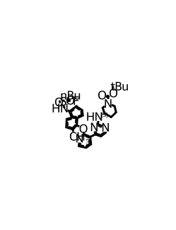 CCCCS(=O)(=O)Nc1c(F)ccc2c(Oc3ncccc3-c3ccnc(N[C@H]4CCCN(C(=O)OC(C)(C)C)C4)n3)c(C)ccc12